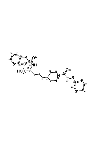 O=C(O)[C@@H](CCCC1CCN(C(=O)OCc2ccccc2)CC1)NS(=O)(=O)Cc1ccccc1